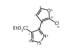 CCOC(=O)c1nsnc1-c1ccoc1Cl